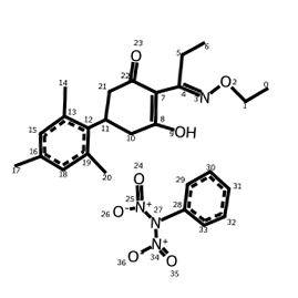 CCO/N=C(\CC)C1=C(O)CC(c2c(C)cc(C)cc2C)CC1=O.O=[N+]([O-])N(c1ccccc1)[N+](=O)[O-]